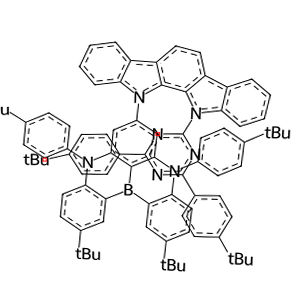 CC(C)(C)c1ccc(-c2nc(-c3ccc(C(C)(C)C)cc3)nc(-n3c4ccccc4c4ccc5c6ccccc6n(-c6cc7c8c(c6)N(c6ccc(C(C)(C)C)cc6)c6ccc(C(C)(C)C)cc6B8c6cc(C(C)(C)C)ccc6N7c6ccc(C(C)(C)C)cc6)c5c43)n2)cc1